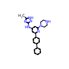 Cc1nc(Nc2cc(-c3ccc(-c4ccccc4)cc3)nc(N3CCNCC3)c2)n[nH]1